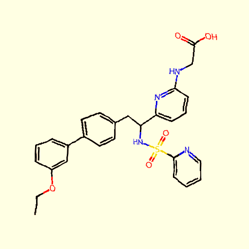 CCOc1cccc(-c2ccc(CC(NS(=O)(=O)c3ccccn3)c3cccc(NCC(=O)O)n3)cc2)c1